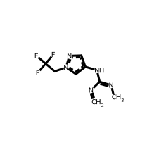 C=N/C(=N\C)Nc1cnn(CC(F)(F)F)c1